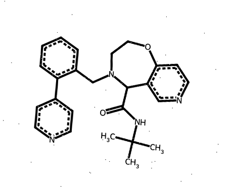 CC(C)(C)NC(=O)C1c2cnccc2OCCN1Cc1ccccc1-c1ccncc1